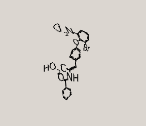 O=C(O)/C(=C\c1ccc(Oc2c(Br)cccc2[N+](=O)[O-])cc1)NC(=O)c1ccccc1